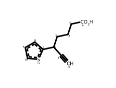 C#CC(CCCC(=O)O)c1cccs1